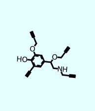 C#CCNCC(OCC#C)c1cc(C#C)c(O)c(OCC#C)c1